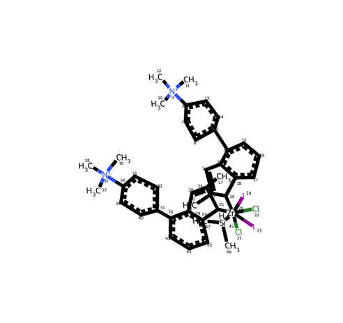 CC1=Cc2c(-c3ccc([N+](C)(C)C)cc3)cccc2[CH]1[Zr]([Cl])([Cl])([I])([I])([CH]1C(C)=Cc2c(-c3ccc([N+](C)(C)C)cc3)cccc21)[SiH](C)C